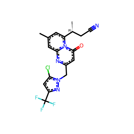 Cc1cc([C@H](C)CC#N)n2c(=O)cc(Cn3nc(C(F)(F)F)cc3Cl)nc2c1